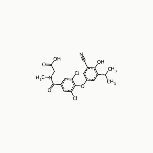 CC(C)c1cc(Oc2c(Cl)cc(C(=O)N(C)CC(=O)O)cc2Cl)cc(C#N)c1O